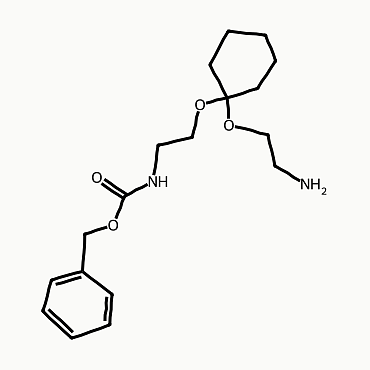 NCCOC1(OCCNC(=O)OCc2ccccc2)CCCCC1